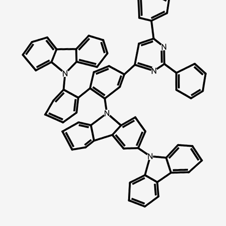 c1ccc(-c2cc(-c3ccc(-c4ccccc4-n4c5ccccc5c5ccccc54)c(-n4c5ccccc5c5cc(-n6c7ccccc7c7ccccc76)ccc54)c3)nc(-c3ccccc3)n2)cc1